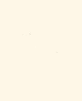 Cc1nnccc1C(=O)C(C)c1ccc(C(F)F)c(O)c1F